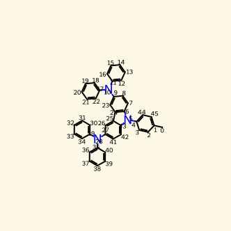 Cc1ccc(-n2c3ccc(N(c4ccccc4)c4ccccc4)cc3c3cc(N(c4ccccc4)c4ccccc4)ccc32)cc1